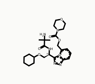 CC(C)(N)C(=O)N[C@H](COC1CCCCC1)c1nnc2cccc(COC(=O)N3CCOCC3)n12